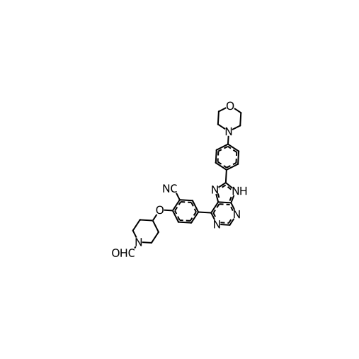 N#Cc1cc(-c2ncnc3[nH]c(-c4ccc(N5CCOCC5)cc4)nc23)ccc1OC1CCN(C=O)CC1